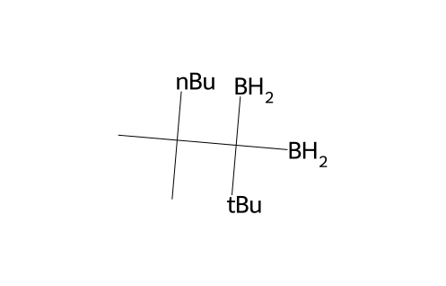 BC(B)(C(C)(C)C)C(C)(C)CCCC